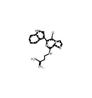 C=C(N)CCNc1nc(-c2c[nH]c3ccccc23)c(Cl)n2ccnc12